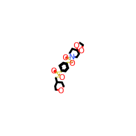 O=S(=O)(CC1CCOCC1)c1ccc(S(=O)(=O)N2CCC3(CC2)OCCO3)cc1